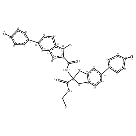 CCOC(=O)C1(NC(=O)c2oc3cc(-c4ccc(Cl)cc4)ccc3c2C)Cc2ccc(-c3ccc(Cl)cc3)cc2C1